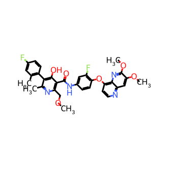 COCc1nc(C)c(-c2ccc(F)cc2C)c(O)c1C(=O)Nc1ccc(Oc2ccnc3cc(OC)c(OC)nc23)c(F)c1